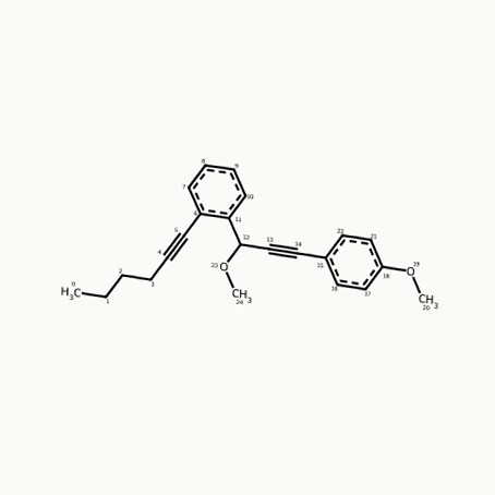 CCCCC#Cc1ccccc1C(C#Cc1ccc(OC)cc1)OC